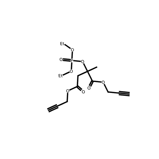 C#CCOC(=O)CC(C)(OP(=O)(OCC)OCC)C(=O)OCC#C